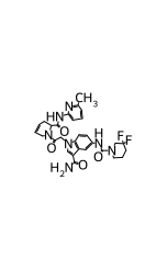 Cc1cccc(NC(=O)C2CC=CCN2C(=O)Cn2cc(C(N)=O)c3cc(NC(=O)N4CCCC(F)(F)C4)ccc32)n1